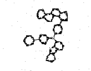 c1ccc(-c2ccc(N(c3ccc(-c4cccc5ccc6c7ccccc7ccc6c45)cc3)c3cccc4c3sc3ccccc34)cc2)cc1